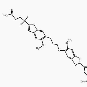 COc1cc2cc(C(F)(F)CCC(=O)O)sc2cc1CCCOc1cc2sc(C(=O)CCC(=O)O)cc2cc1OC